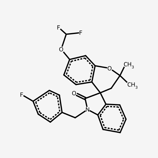 CC1(C)CC2(C(=O)N(Cc3ccc(F)cc3)c3ccccc32)c2ccc(OC(F)F)cc2O1